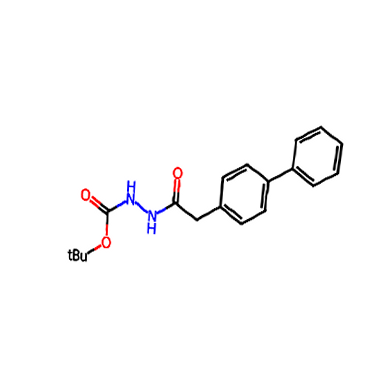 CC(C)(C)OC(=O)NNC(=O)Cc1ccc(-c2ccccc2)cc1